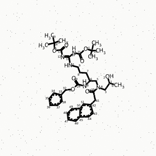 CC(O)CN(CC(CCCN/C(=N/C(=O)OC(C)(C)C)NC(=O)OC(C)(C)C)NC(=O)OCc1ccccc1)C(=O)Cc1ccc2ccccc2c1